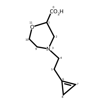 O=C(O)C1CN(CCC2=CC2)CCO1